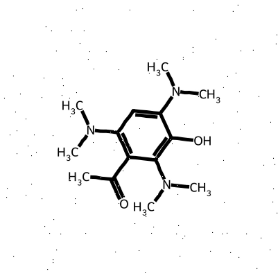 CC(=O)c1c(N(C)C)cc(N(C)C)c(O)c1N(C)C